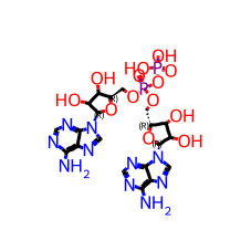 Nc1ncnc2c1ncn2[C@@H]1O[C@H](COP(=O)(OC[C@H]2O[C@@H](n3cnc4c(N)ncnc43)C(O)C2O)OP(=O)(O)O)C(O)C1O